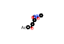 CC(=O)[C@H]1CC[C@@H](C(=O)c2ccc(-c3ccc4c(c3)OCCN4C(=O)Nc3ccccc3)cc2)CC1